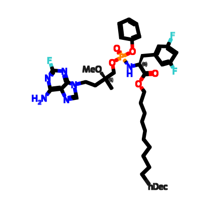 CCCCCCCCCCCCCCCCCCCCOC(=O)[C@H](Cc1cc(F)cc(F)c1)NP(=O)(OC[C@](C)(CCn1cnc2c(N)nc(F)nc21)OC)Oc1ccccc1